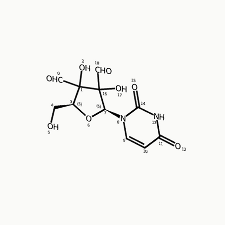 O=CC1(O)[C@H](CO)O[C@H](n2ccc(=O)[nH]c2=O)C1(O)C=O